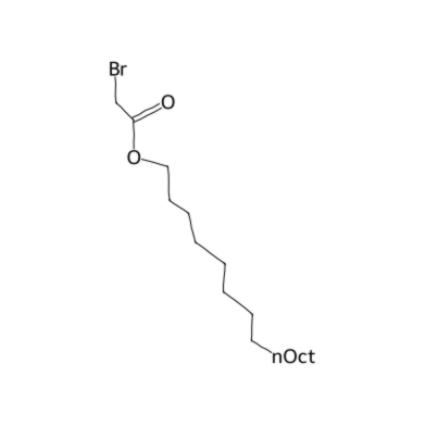 CCCCCCCCCCCCCCCCOC(=O)CBr